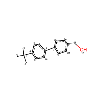 CC(C)(C)c1ccc(-c2ccc(CO)cc2)cc1